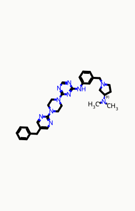 CN(C)[C@@H]1CCN(Cc2cccc(Nc3ncnc(N4CCN(c5ncc(Cc6ccccc6)cn5)CC4)n3)c2)C1